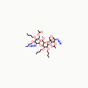 CCCCOC1[C@H](O[C@H]2OC(COC(C)=O)[C@@H](OCCCC)[C@H](OCCCC)C2N=[N+]=[N-])C(C(=O)OC)O[C@@H](OC2[C@@H]3COC(O3)[C@@H](N=[N+]=[N-])[C@@H]2OC(C)=O)[C@H]1OCCCC